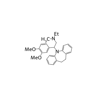 CCN(C)CC(c1ccc(OC)c(OC)c1)N1c2ccccc2CCc2ccccc21